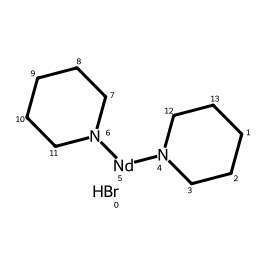 Br.C1CC[N]([Nd][N]2CCCCC2)CC1